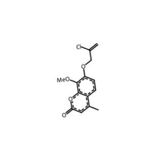 C=C(Cl)COc1ccc2c(C)cc(=O)oc2c1OC